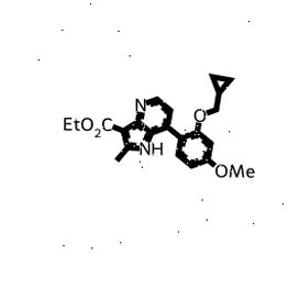 CCOC(=O)c1c(C)[nH]c2c(-c3ccc(OC)cc3OCC3CC3)ccnc12